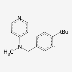 CN(Cc1c[c]c(C(C)(C)C)cc1)c1ccncc1